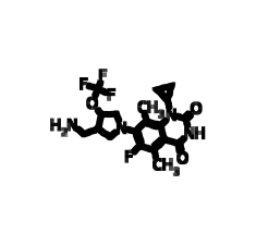 Cc1c(F)c(N2CC(CN)C(OC(F)(F)F)C2)c(C)c2c1c(=O)[nH]c(=O)n2C1CC1